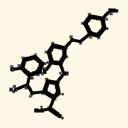 COC(=O)c1sc(Nc2cc(OCc3ccc(OC)cc3)ccc2[N+](=O)[O-])cc1OC(C)c1ccccc1Cl